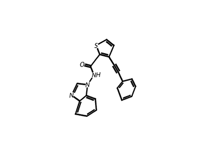 O=C(Nn1cnc2ccccc21)c1sccc1C#Cc1ccccc1